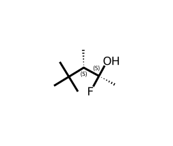 C[C@@H](C(C)(C)C)[C@@](C)(O)F